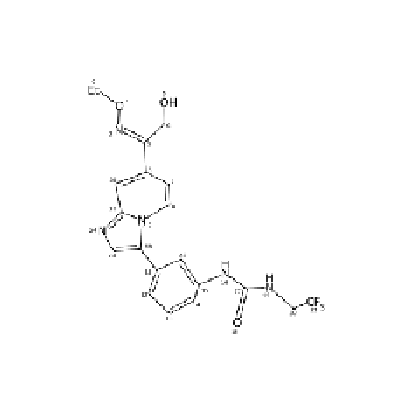 CCON=C(CO)c1ccn2c(-c3cccc(NC(=O)NCC(F)(F)F)c3)cnc2c1